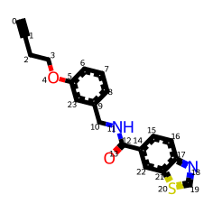 C#CCCOc1cccc(CNC(=O)c2ccc3ncsc3c2)c1